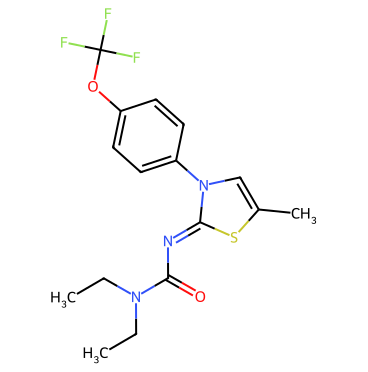 CCN(CC)C(=O)N=c1sc(C)cn1-c1ccc(OC(F)(F)F)cc1